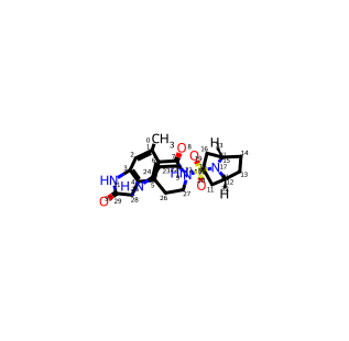 Cc1cc2c(cc1C(=O)N[C@H]1C[C@H]3CC[C@@H](C1)N3S(=O)(=O)N1CCC(N)CC1)CC(=O)N2